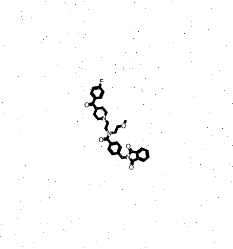 COCCN(CCN1CCC(C(=O)c2ccc(F)cc2)CC1)C(=O)c1ccc(CN2C(=O)c3ccccc3C2=O)cc1